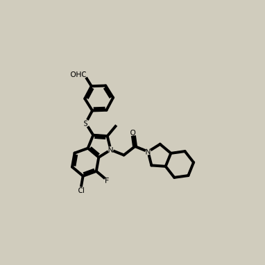 Cc1c(Sc2cccc(C=O)c2)c2ccc(Cl)c(F)c2n1CC(=O)N1CC2CCCCC2C1